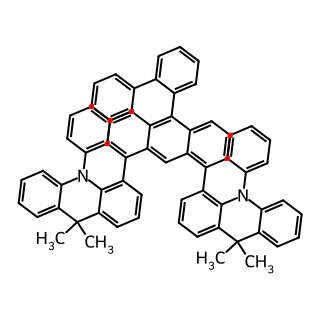 CC1(C)c2ccccc2N(c2ccccc2)c2c(-c3cccc4c(-c5ccccc5-c5ccccc5)c5cccc(-c6cccc7c6N(c6ccccc6)c6ccccc6C7(C)C)c5cc34)cccc21